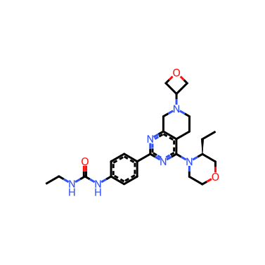 CCNC(=O)Nc1ccc(-c2nc3c(c(N4CCOC[C@@H]4CC)n2)CCN(C2COC2)C3)cc1